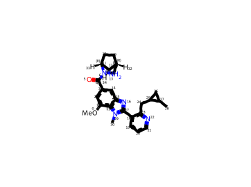 COc1cc(C(=O)N2C[C@H]3CC[C@@H]2[C@@H]3N)cc2nc(-c3cccnc3CC3CC3C)n(C)c12